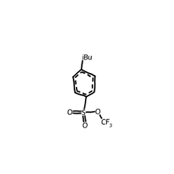 CCC(C)c1ccc(S(=O)(=O)OC(F)(F)F)cc1